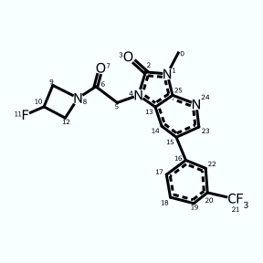 Cn1c(=O)n(CC(=O)N2CC(F)C2)c2cc(-c3cccc(C(F)(F)F)c3)cnc21